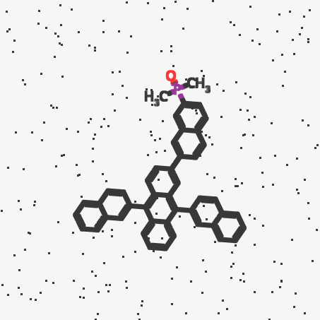 CP(C)(=O)c1ccc2ccc(-c3ccc4c(-c5ccc6ccccc6c5)c5ccccc5c(-c5ccc6ccccc6c5)c4c3)cc2c1